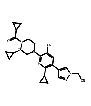 N#CCn1cc(-c2cc(C#N)c(N3CCN(C(=O)C4CC4)[C@H](C4CC4)C3)nc2C2CC2)cn1